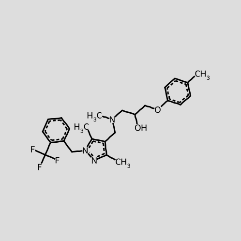 Cc1ccc(OCC(O)CN(C)Cc2c(C)nn(Cc3ccccc3C(F)(F)F)c2C)cc1